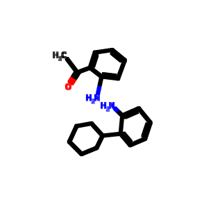 CC(=O)c1ccccc1N.Nc1ccccc1C1CCCCC1